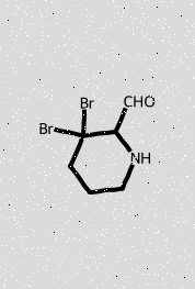 O=CC1NCCCC1(Br)Br